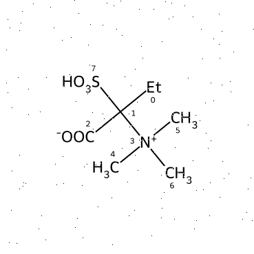 CCC(C(=O)[O-])([N+](C)(C)C)S(=O)(=O)O